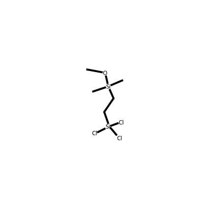 CO[Si](C)(C)CC[Si](Cl)(Cl)Cl